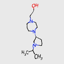 CC(C)N1CCC(N2CCN(CCO)CC2)C1